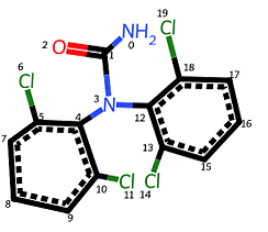 NC(=O)N(c1c(Cl)cccc1Cl)c1c(Cl)cccc1Cl